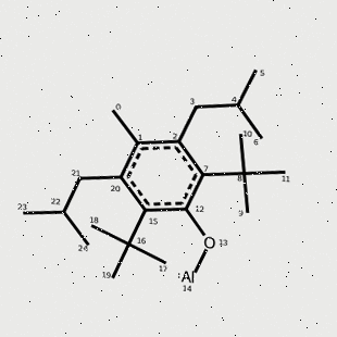 Cc1c(CC(C)C)c(C(C)(C)C)c([O][Al])c(C(C)(C)C)c1CC(C)C